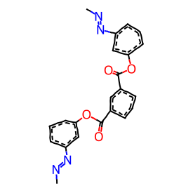 CN=Nc1cccc(OC(=O)c2cccc(C(=O)Oc3cccc(N=NC)c3)c2)c1